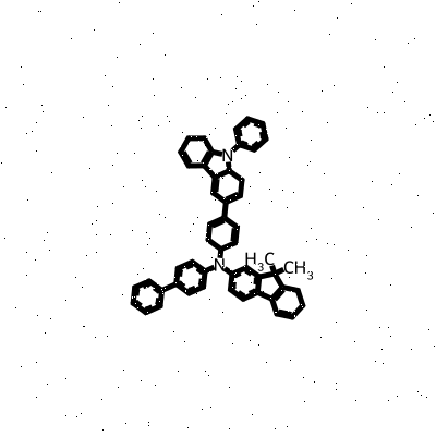 CC1(C)C2=C(C=CCC2)c2ccc(N(c3ccc(-c4ccccc4)cc3)C3C=CC(C4=CCC5C(=C4)C4=C(CCC=C4)N5c4ccccc4)=CC3)cc21